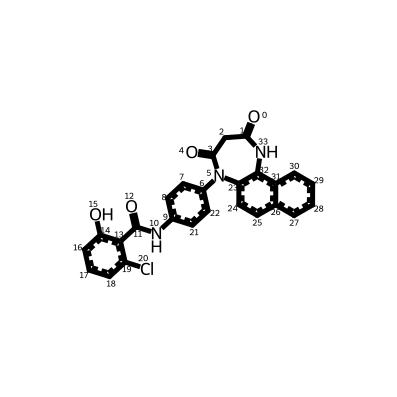 O=C1CC(=O)N(c2ccc(NC(=O)c3c(O)cccc3Cl)cc2)c2ccc3ccccc3c2N1